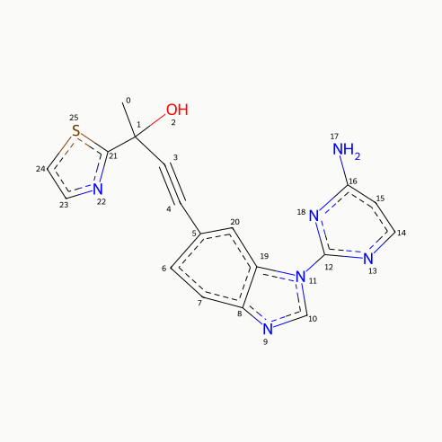 CC(O)(C#Cc1ccc2ncn(-c3nccc(N)n3)c2c1)c1nccs1